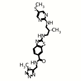 CSc1cnc(NC[C@H](C)CNc2nc3ccc(C(=O)NCc4nnnn4C)cc3s2)nc1